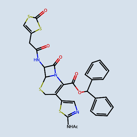 CC(=O)Nc1ncc(C2=C(C(=O)OC(c3ccccc3)c3ccccc3)N3C(=O)C(NC(=O)Cc4csc(=O)s4)C3SC2)s1